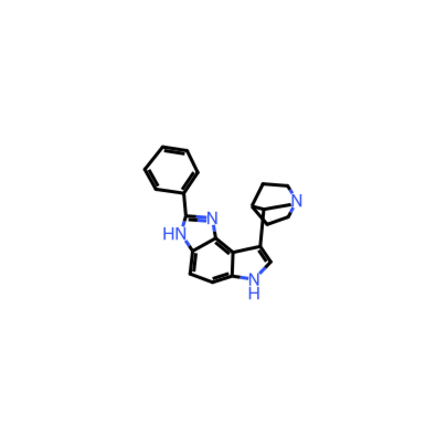 c1ccc(-c2nc3c(ccc4[nH]cc(C5CN6CCC5CC6)c43)[nH]2)cc1